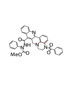 COC(=O)N(NC(=O)c1c(CN2CCN(S(=O)(=O)c3ccccc3)CC2)c(-c2ccccc2)nc2ccccc12)c1ccccc1